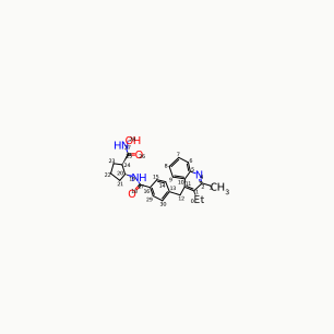 CCc1c(C)nc2ccccc2c1Cc1ccc(C(=O)N[C@H]2CCC[C@H]2C(=O)NO)cc1